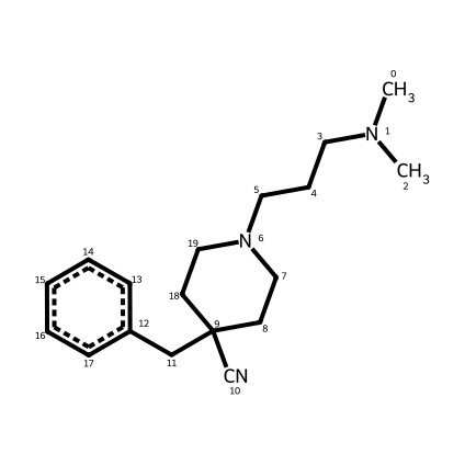 CN(C)CCCN1CCC(C#N)(Cc2ccccc2)CC1